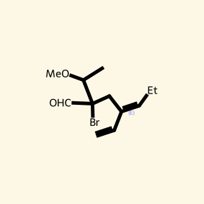 C=C/C(=C/CC)CC(Br)(C=O)C(C)OC